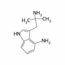 CC(C)(N)Cc1c[nH]c2cccc(N)c12